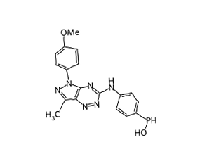 COc1ccc(-n2nc(C)c3nnc(Nc4ccc(PO)cc4)nc32)cc1